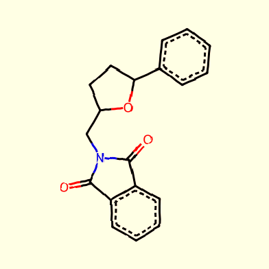 O=C1c2ccccc2C(=O)N1CC1CCC(c2ccccc2)O1